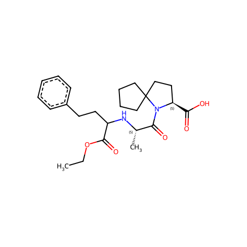 CCOC(=O)C(CCc1ccccc1)N[C@@H](C)C(=O)N1[C@H](C(=O)O)CCC12CCCC2